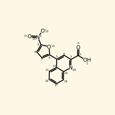 O=C(O)c1cc(-c2ccc([N+](=O)[O-])o2)c2ccccc2n1